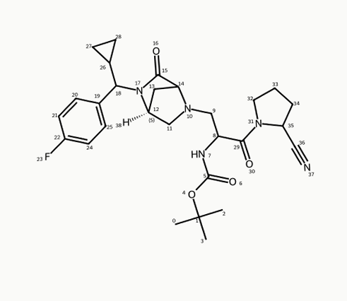 CC(C)(C)OC(=O)NC(CN1C[C@@H]2CC1C(=O)N2C(c1ccc(F)cc1)C1CC1)C(=O)N1CCCC1C#N